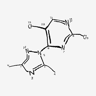 Cc1nc(C)n(-c2nc(Cl)ncc2Cl)n1